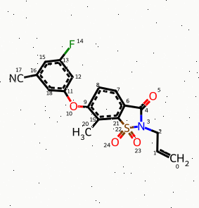 C=CCN1C(=O)c2ccc(Oc3cc(F)cc(C#N)c3)c(C)c2S1(=O)=O